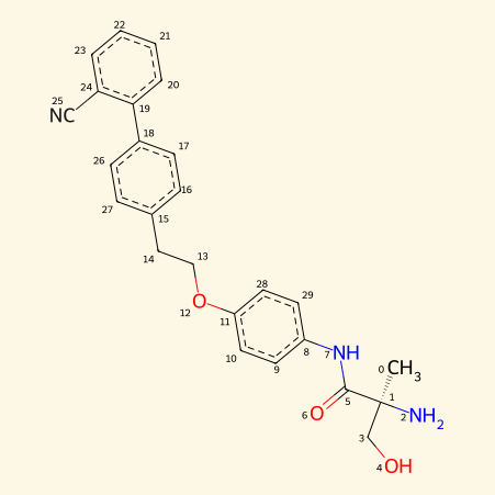 C[C@](N)(CO)C(=O)Nc1ccc(OCCc2ccc(-c3ccccc3C#N)cc2)cc1